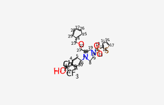 C[C@@](O)(c1ccc(N2CCN(S(=O)(=O)c3cccs3)C[C@@H]2COCc2ccccc2)cc1)C(F)(F)F